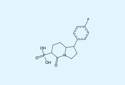 O=C1C(P(=O)(O)O)CCC2C(c3ccc(F)cc3)CCN12